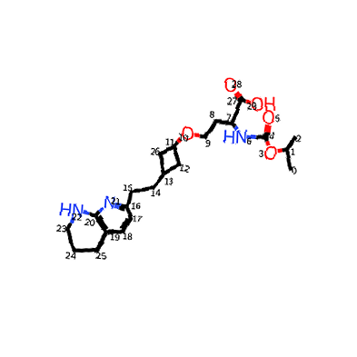 CC(C)OC(=O)NC(CCOC1CC(CCc2ccc3c(n2)NCCC3)C1)C(=O)O